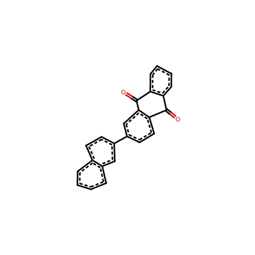 O=C1c2ccccc2C(=O)c2cc(-c3ccc4ccccc4c3)ccc21